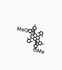 COc1ccc2c(c1)-c1cc(C)cc3c1B2c1cc2c(-c4c(C)cccc4C)cc4c5c(cc6c(-c7c(C)cccc7C)cc-3c1c6c25)B1c2ccc(C)cc2-c2cc(OC)cc-4c21